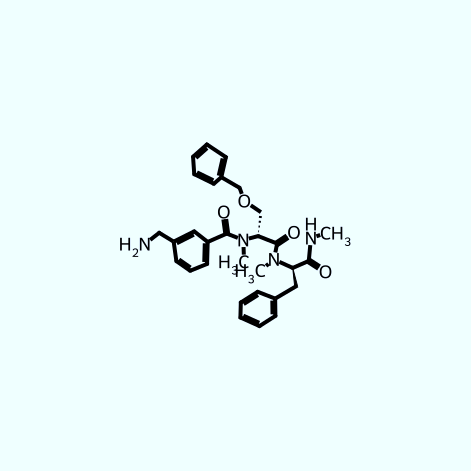 CNC(=O)[C@@H](Cc1ccccc1)N(C)C(=O)[C@@H](COCc1ccccc1)N(C)C(=O)c1cccc(CN)c1